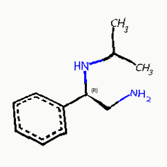 CC(C)N[C@@H](CN)c1ccccc1